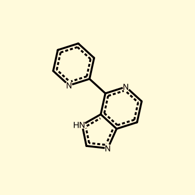 c1ccc(-c2nccc3nc[nH]c23)nc1